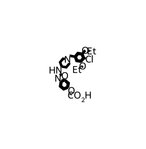 CCOc1cc(CN2CCC(Nc3nc4ccc(OC(=O)O)cc4o3)CC2)cc(OCC)c1Cl